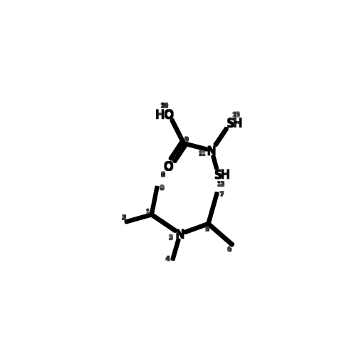 CC(C)N(C)C(C)C.O=C(O)N(S)S